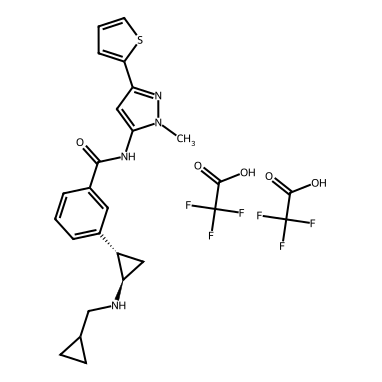 Cn1nc(-c2cccs2)cc1NC(=O)c1cccc([C@@H]2C[C@H]2NCC2CC2)c1.O=C(O)C(F)(F)F.O=C(O)C(F)(F)F